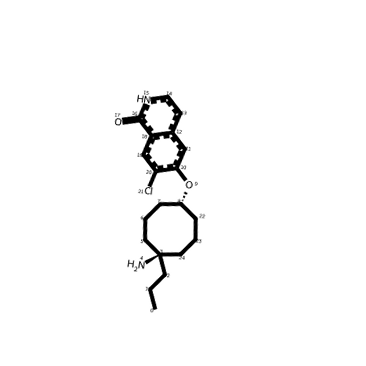 CCC[C@]1(N)CCC[C@H](Oc2cc3cc[nH]c(=O)c3cc2Cl)CCC1